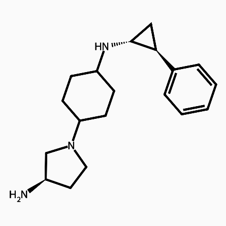 N[C@@H]1CCN(C2CCC(N[C@@H]3C[C@H]3c3ccccc3)CC2)C1